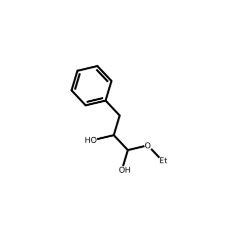 CCOC(O)C(O)Cc1ccccc1